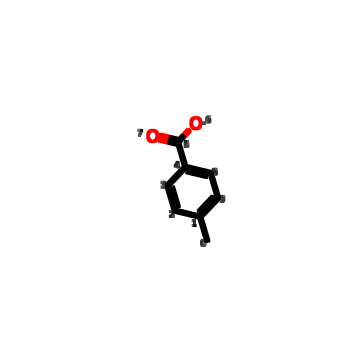 Cc1ccc(C([O])=O)cc1